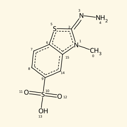 Cn1/c(=N\N)sc2ccc(S(=O)(=O)O)cc21